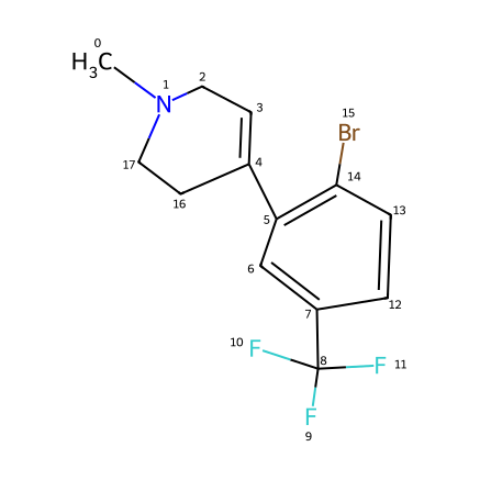 CN1CC=C(c2cc(C(F)(F)F)ccc2Br)CC1